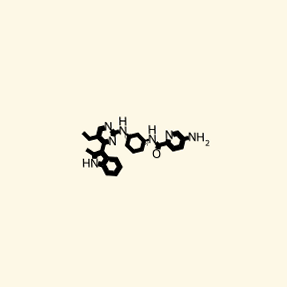 CCc1cnc(N[C@@H]2CCC[C@H](NC(=O)c3ccc(N)cn3)C2)nc1-c1c(C)[nH]c2ccccc12